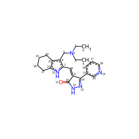 CCN(CC)Cc1c(C=C2C(=O)NN=C2c2cccnc2)[nH]c2c1CCCC2